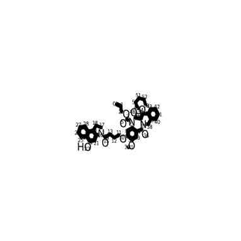 C=CCOC(=O)N1c2cc(OCCCC(=O)N3CCc4c3cc(O)c3ccccc43)c(OC)cc2C(=O)N2Cc3ccccc3C[C@H]2C1OC1CCCCO1